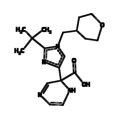 CC(C)(C)c1nc(C2(C(=O)O)C=NC=CN2)cn1CC1CCOCC1